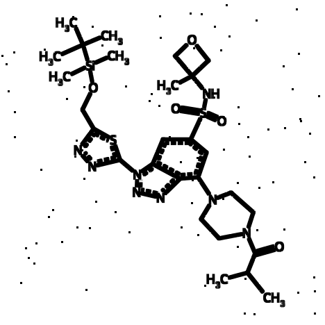 CC(C)C(=O)N1CCN(c2cc(S(=O)(=O)NC3(C)COC3)cc3c2nnn3-c2nnc(CO[Si](C)(C)C(C)(C)C)s2)CC1